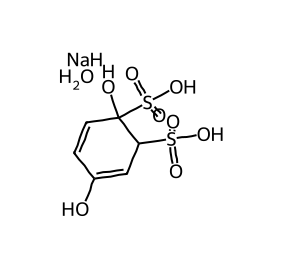 O.O=S(=O)(O)C1C=C(O)C=CC1(O)S(=O)(=O)O.[NaH]